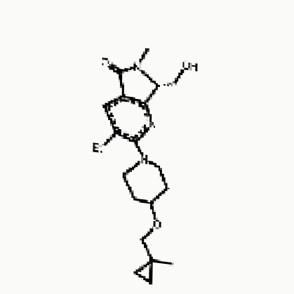 CCc1cc2c(nc1N1CCC(OCC3(C)CC3)CC1)[C@@H](CO)N(C)C2=O